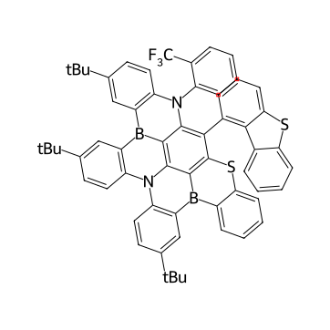 CC(C)(C)c1ccc2c(c1)B1c3ccccc3Sc3c1c1c4c(c3-c3cccc5sc6ccccc6c35)N(c3ccccc3C(F)(F)F)c3ccc(C(C)(C)C)cc3B4c3cc(C(C)(C)C)ccc3N21